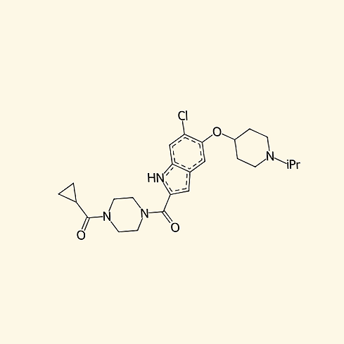 CC(C)N1CCC(Oc2cc3cc(C(=O)N4CCN(C(=O)C5CC5)CC4)[nH]c3cc2Cl)CC1